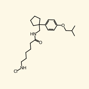 CC(C)COc1ccc(C2(CNC(=O)CCCCCNCl)CCCC2)cc1